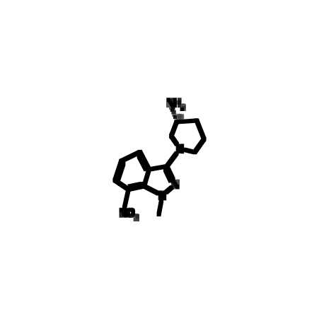 Cn1nc(N2CCC[C@@H](N)C2)c2cccc([N+](=O)[O-])c21